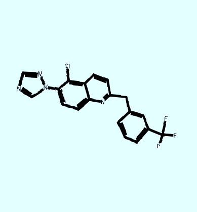 FC(F)(F)c1cccc(Cc2ccc3c(Cl)c(-n4cncn4)ccc3n2)c1